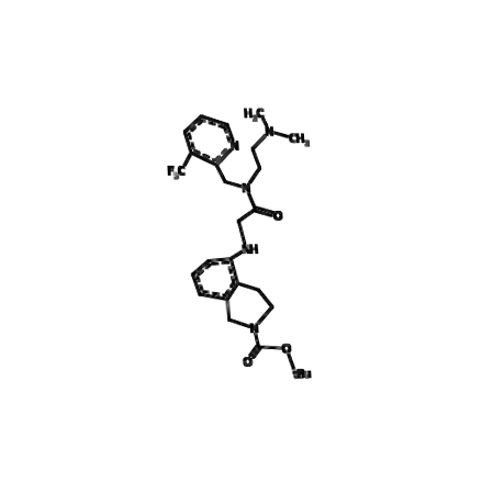 CN(C)CCN(Cc1ncccc1C(F)(F)F)C(=O)CNc1cccc2c1CCN(C(=O)OC(C)(C)C)C2